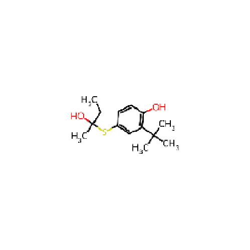 CCC(C)(O)Sc1ccc(O)c(C(C)(C)C)c1